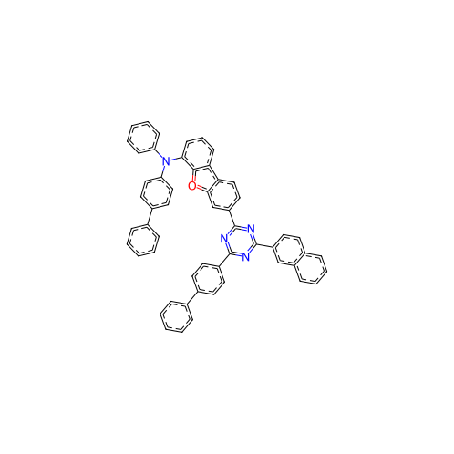 c1ccc(-c2ccc(-c3nc(-c4ccc5ccccc5c4)nc(-c4ccc5c(c4)oc4c(N(c6ccccc6)c6ccc(-c7ccccc7)cc6)cccc45)n3)cc2)cc1